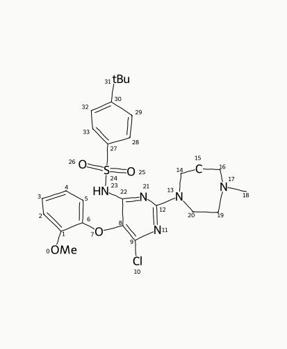 COc1ccccc1Oc1c(Cl)nc(N2CCCN(C)CC2)nc1NS(=O)(=O)c1ccc(C(C)(C)C)cc1